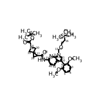 COc1cccc(OC)c1-c1cn(COCC[Si](C)(C)C)c2nc(NC(=O)C3CC34CN(C(=O)OC(C)(C)C)C4)ccc12